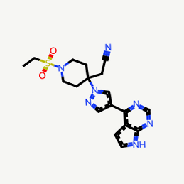 CCS(=O)(=O)N1CCC(CC#N)(n2cc(-c3ncnc4[nH]ccc34)cn2)CC1